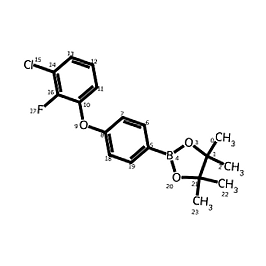 CC1(C)OB(c2ccc(Oc3cccc(Cl)c3F)cc2)OC1(C)C